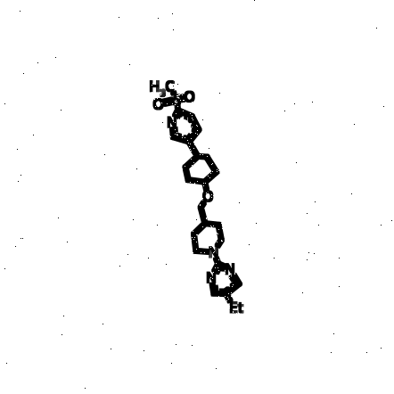 CCc1cnc(N2CCC(COC3CCC(c4ccc(S(C)(=O)=O)nc4)CC3)CC2)nc1